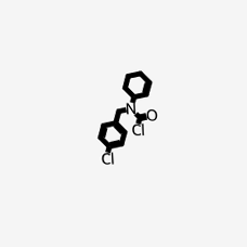 O=C(Cl)N(Cc1ccc(Cl)cc1)C1C=CCCC1